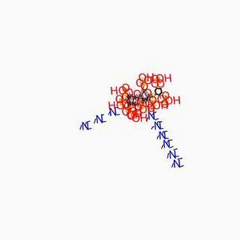 CCN(CC)CC.CCN(CC)CC.CCN(CC)CC.CCN(CC)CC.CCN(CC)CC.CCN(CC)CC.CCN(CC)CC.CCN(CC)CC.CCN(CC)CC.O=S(=O)(O)OC[C@H]1O[C@@H](Sc2cc(OS(=O)(=O)O)ccc2OS(=O)(=O)O)[C@H](OS(=O)(=O)O)[C@@H](OS(=O)(=O)O)[C@@H]1O[C@H]1O[C@H](COS(=O)(=O)O)[C@@H](OS(=O)(=O)O)[C@H](OS(=O)(=O)O)[C@H]1OS(=O)(=O)O